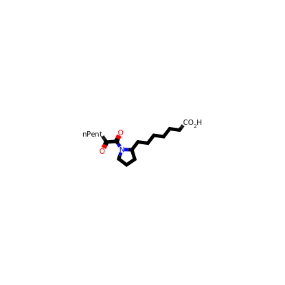 CCCCCC(=O)C(=O)N1CCCC1CCCCCCC(=O)O